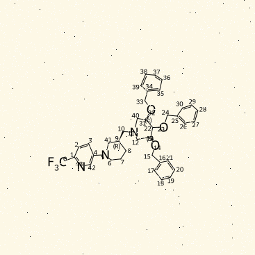 FC(F)(F)c1ccc(N2CCC[C@H](CN3C[C@H](OCc4ccccc4)C(OCc4ccccc4)[C@H](OCc4ccccc4)C3)C2)cn1